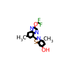 Cc1cc(-c2nc3c(C)cc(O)cc3s2)c2ncc(OC(F)F)nc2c1